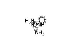 NCCc1cnc(N)nc1NC1CCCCCCC1